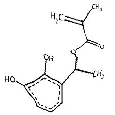 C=C(C)C(=O)OC(C)c1cccc(O)c1O